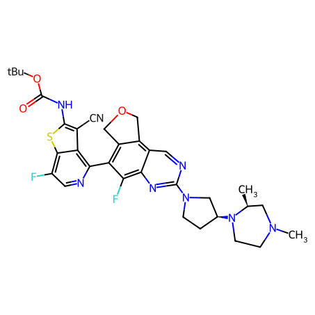 C[C@H]1CN(C)CCN1[C@H]1CCN(c2ncc3c4c(c(-c5ncc(F)c6sc(NC(=O)OC(C)(C)C)c(C#N)c56)c(F)c3n2)COC4)C1